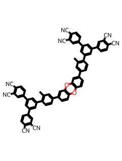 Cc1cc(-c2ccc3c(c2)Oc2cc(-c4ccc(-c5cc(-c6ccc(C#N)c(C#N)c6)cc(-c6ccc(C#N)c(C#N)c6)c5)c(C)c4)ccc2O3)ccc1-c1cc(-c2ccc(C#N)c(C#N)c2)cc(-c2ccc(C#N)c(C#N)c2)c1